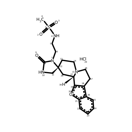 CS(=O)(=O)NCCN1C(=O)NC[C@]12CCN1CCc3c(oc4ccccc34)[C@@H]1C2.Cl